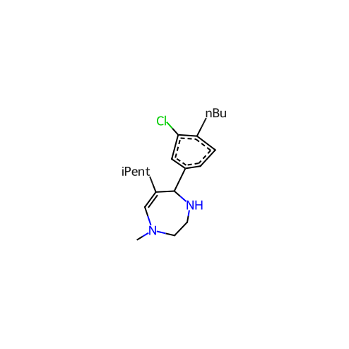 CCCCc1ccc(C2NCCN(C)C=C2C(C)CCC)cc1Cl